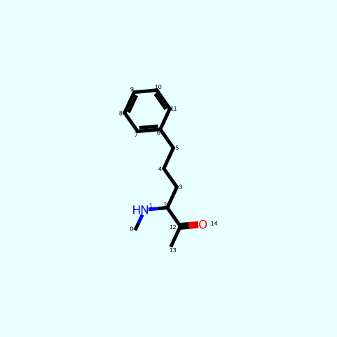 CNC(CCCc1ccccc1)C(C)=O